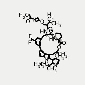 C=CC(=O)N1CC(OCC(C(=O)N[C@H]2Cc3cc(cc(C(F)F)c3)-c3ccc4c(c3)c(c(-c3cccnc3C(C)C)n4CC)CC(C)(C)COC(=O)[C@@H]3CCCN(N3)C2=O)C(C)C)C1